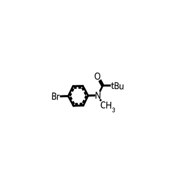 CN(C(=O)C(C)(C)C)c1ccc(Br)cc1